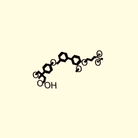 COc1cc(-c2cccc(COc3ccc(C4(CC(=O)O)COC4)cc3)c2)ccc1OCCCS(C)(=O)=O